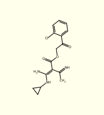 CC(=N)/C(C(=O)OCC(=O)c1ccccc1Cl)=C(/N)NC1CC1